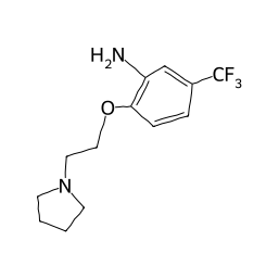 Nc1cc(C(F)(F)F)ccc1OCCN1CCCC1